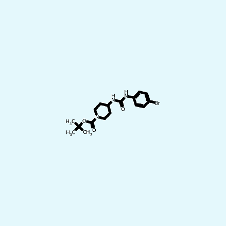 CC(C)(C)OC(=O)N1CCC(NC(=O)Nc2ccc(Br)cc2)CC1